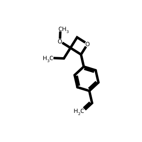 C=Cc1ccc(C2OCC2(CC)OC)cc1